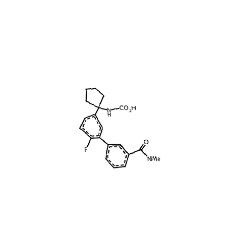 CNC(=O)c1cccc(-c2cc(C3(NC(=O)O)CCCC3)ccc2F)c1